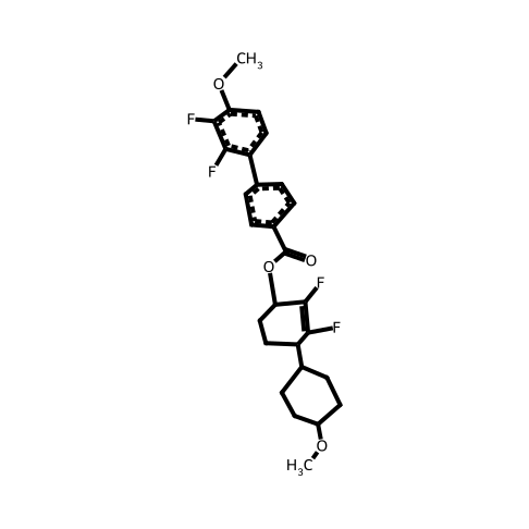 COc1ccc(-c2ccc(C(=O)OC3CCC(C4CCC(OC)CC4)C(F)=C3F)cc2)c(F)c1F